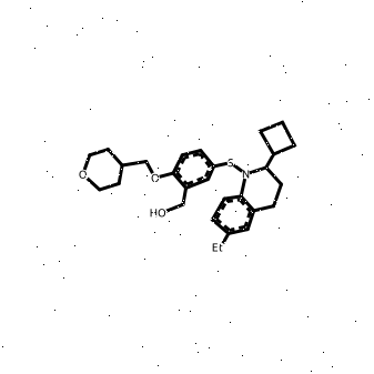 CCc1ccc2c(c1)CCC(C1CCC1)N2Sc1ccc(OCC2CCOCC2)c(CO)c1